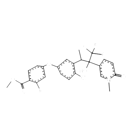 COC(=O)c1ccc(Oc2ccc(Cl)c(C(C)C(O)(c3ccc(=O)n(C)c3)C(F)(F)F)c2)cc1F